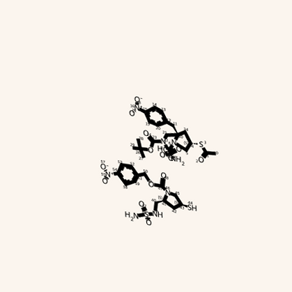 CC(=O)S[C@@H]1CN(C(=O)O)[C@](Cc2ccc([N+](=O)[O-])cc2)(CN(C(=O)OC(C)(C)C)S(N)(=O)=O)C1.NS(=O)(=O)NC[C@@H]1C[C@H](S)CN1C(=O)OCc1ccc([N+](=O)[O-])cc1